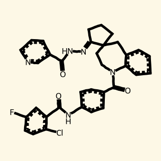 O=C(NN=C1CCCC12CCN(C(=O)c1ccc(NC(=O)c3cc(F)ccc3Cl)cc1)c1ccccc1C2)c1cccnc1